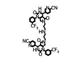 N#Cc1ccc(C2NC(=O)N(c3cccc(C(F)(F)F)c3)C3=C2C(=O)N(CCCNCCCN2CC4=C(C2=O)C(c2ccc(C#N)nc2)NC(=O)N4c2cccc(C(F)(F)F)c2)C3)cn1